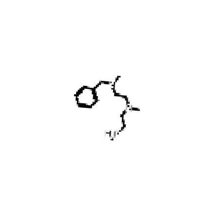 CN(CCP)CCN(C)Cc1ccccc1